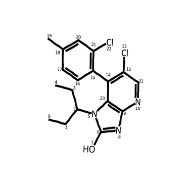 CCC(CC)n1c(O)nc2ncc(Cl)c(-c3ccc(C)cc3Cl)c21